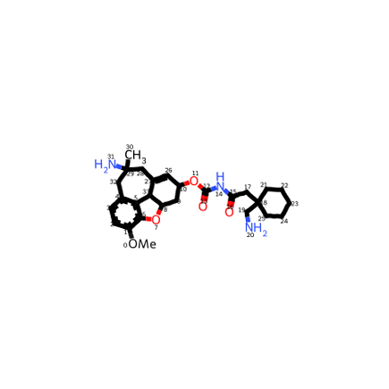 COc1ccc2c3c1OC1CC(OC(=O)NC(=O)CC4(CN)CCCCC4)C=C(CC(C)(N)C2)C31